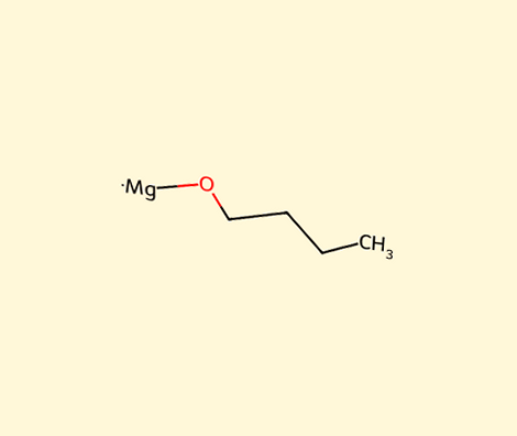 CCCC[O][Mg]